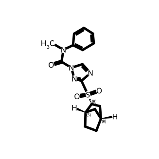 CN(C(=O)n1cnc(S(=O)(=O)[C@@H]2C[C@@H]3CC[C@H]2C3)n1)c1ccccc1